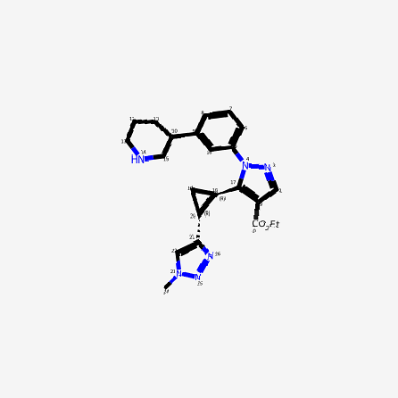 CCOC(=O)c1cnn(-c2cccc(C3CCCNC3)c2)c1[C@@H]1C[C@H]1c1cn(C)nn1